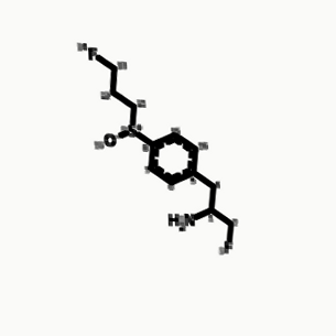 NC(CF)Cc1ccc([S+]([O-])CCCF)cc1